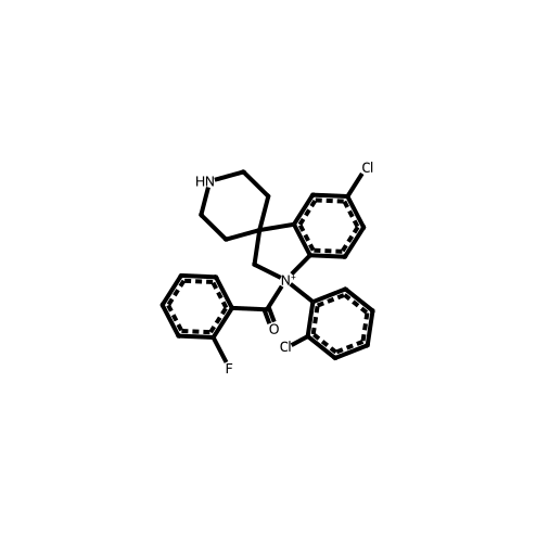 O=C(c1ccccc1F)[N+]1(c2ccccc2Cl)CC2(CCNCC2)c2cc(Cl)ccc21